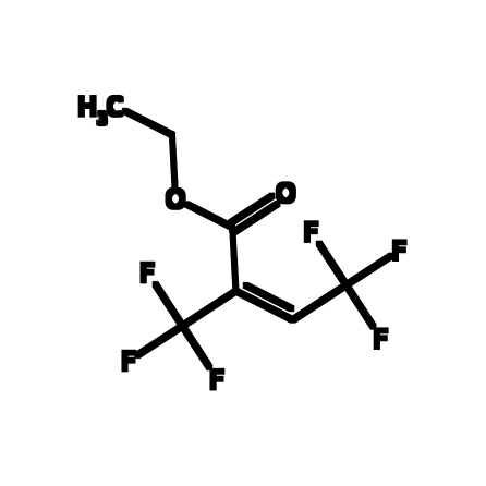 CCOC(=O)C(=CC(F)(F)F)C(F)(F)F